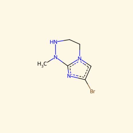 CN1NCCn2cc(Br)nc21